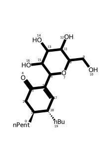 CCCCC[C@H]1CC(=O)C(C2OC(CO)C(O)C(O)C2O)=C[C@@H]1CCCC